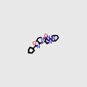 O=C(CN1CC2CCC(C1)N2c1ncc(F)cn1)N1CCc2oc(-c3ccccc3)nc2C1